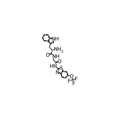 N[C@H](Cc1c[nH]c2ccccc12)C(=O)NCC(=O)Nc1nc2ccc(OC(F)(F)F)cc2s1